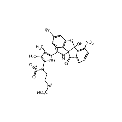 Cc1c(C(=O)NC23C(=O)c4cccc([N+](=O)[O-])c4C2(O)Oc2cc(C(C)C)ccc23)[nH]c(N(CCNC(=O)O)[SH](=O)=O)c1C